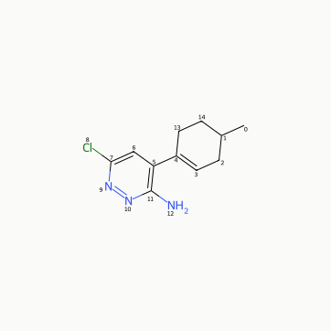 CC1CC=C(c2cc(Cl)nnc2N)CC1